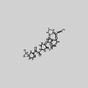 CC#CC(=O)N1CCCC1c1nc(-c2ccc(C(=O)Nc3cc(C(C)C)ccn3)cc2)c2c(N)nccn12